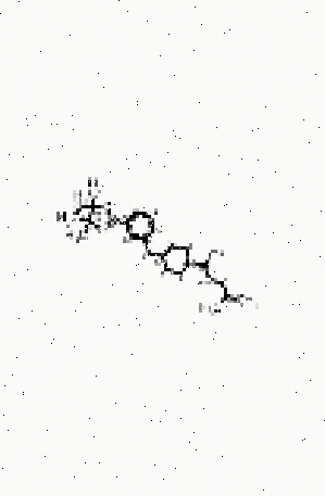 CC(C)COC(=O)N1CCC(Cc2cccc(B3OC(C)(C)C(C)(C)O3)c2)CC1